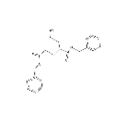 O=C(CCC(CC[N+](=O)[O-])C(=O)OCc1ccccc1)OCc1ccccc1